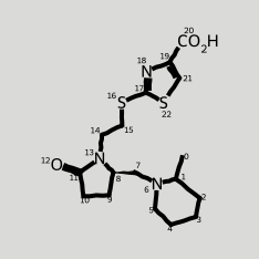 CC1CCCCN1C[C@H]1CCC(=O)N1CCSc1nc(C(=O)O)cs1